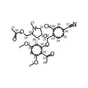 COc1cc(OC)c([C@H]2CCN(C)[C@@H]2COC(C)=O)c(OC(=O)c2ccc(C#N)cc2Cl)c1C(C)=O